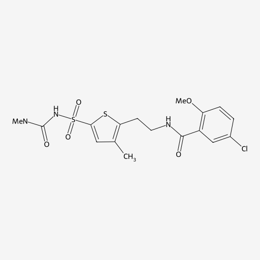 CNC(=O)NS(=O)(=O)c1cc(C)c(CCNC(=O)c2cc(Cl)ccc2OC)s1